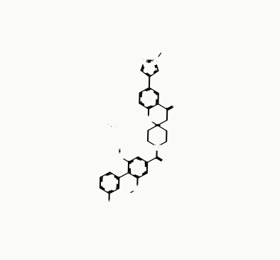 CCOc1cc(C(=O)N2CCC3(CC2)CC(=O)c2cc(-c4cnn(C)c4)ccc2O3)cc(OCC)c1-c1cccc(C(=O)[O-])c1.[Na+]